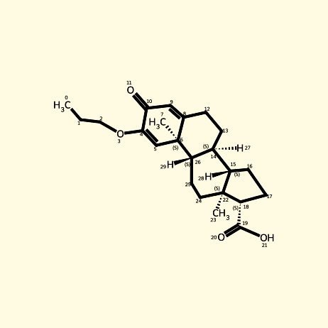 CCCOC1=C[C@@]2(C)C(=CC1=O)CC[C@H]1[C@@H]3CC[C@H](C(=O)O)[C@@]3(C)CC[C@@H]12